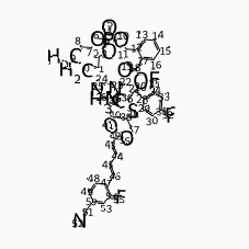 C=CCOP(=O)(OCC=C)OCc1ccccc1C(=O)O[C@@](Cn1cncn1)(c1ccc(F)cc1F)[C@@H](C)S[C@H]1CO[C@H](/C=C/C=C/c2ccc(C#N)cc2F)OC1